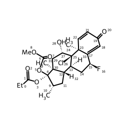 CCC(=O)O[C@@]1(OC(=O)OC)[C@@H](C)C[C@H]2[C@@H]3C[C@H](F)C4=CC(=O)C=C[C@]4(C)[C@@]3(Cl)[C@@H](O)C[C@@]21C